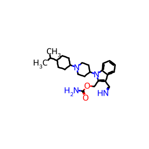 CC(C)C1CCC(N2CCC(n3c(COC(N)=O)c(C=N)c4ccccc43)CC2)CC1